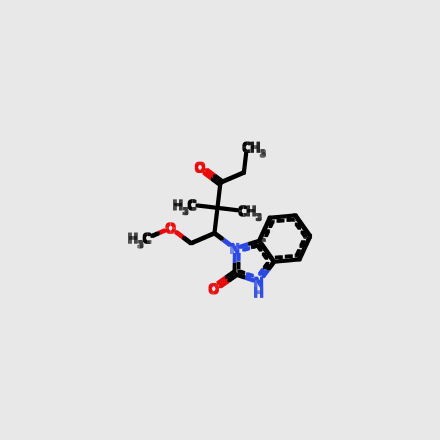 CCC(=O)C(C)(C)C(COC)n1c(=O)[nH]c2ccccc21